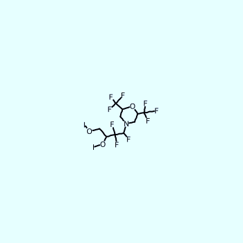 FC(N1CC(C(F)(F)F)OC(C(F)(F)F)C1)C(F)(F)C(COI)OI